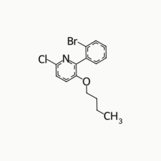 CCCCOc1ccc(Cl)nc1-c1ccccc1Br